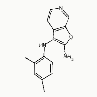 Cc1ccc(Nc2c(N)oc3cnccc23)c(C)c1